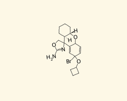 NC1=NC2(CO1)C1=CC(Br)(OC3CCC3)C=CC1O[C@H]1CCCC[C@@H]12